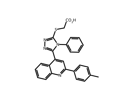 Cc1ccc(-c2cc(-c3nnc(SCC(=O)O)n3-c3ccccc3)c3ccccc3n2)cc1